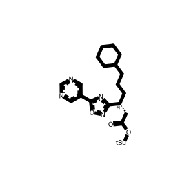 CC(C)(C)OC(=O)C[C@@H](CCCC1CCCCC1)c1noc(-c2cncnc2)n1